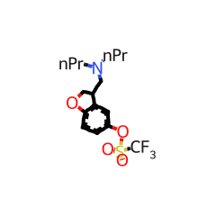 CCCN(CCC)CC1COc2ccc(OS(=O)(=O)C(F)(F)F)cc21